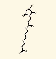 CC(C)[C@@H]1CC(=O)N(CCC(=O)NCCCOCCC(=O)I)C1=O